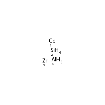 [AlH3].[Ce].[SiH4].[Zr]